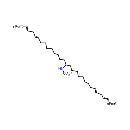 CCCCC/C=C/C/C=C/CCCCCCCCC(CCCCCCCC/C=C/C/C=C/CCCCC)NC(=O)O